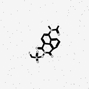 CC(=O)N(C)c1ccc2c3c(cccc13)C(=O)N(OS(=O)(=O)CF)C2=O